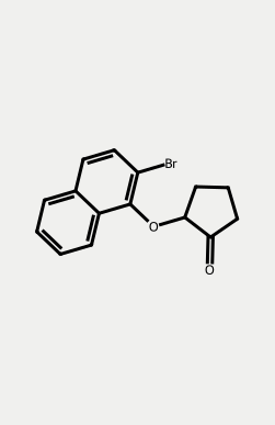 O=C1CCCC1Oc1c(Br)ccc2ccccc12